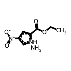 CCOC(=O)c1cc([N+](=O)[O-])c[nH]1.N